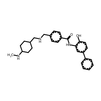 CNC1CCC(CNCc2ccc(C(=O)Nc3cc(-c4ccccc4)ccc3O)cc2)CC1